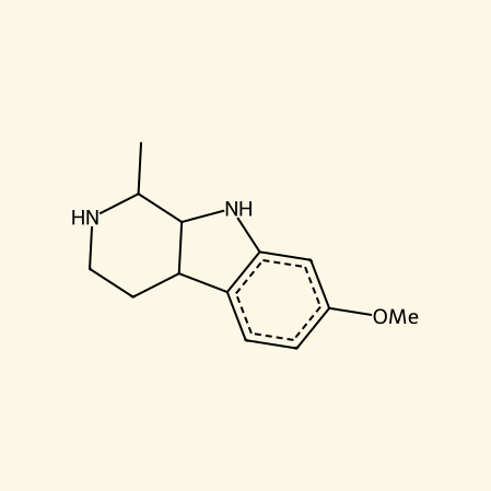 COc1ccc2c(c1)NC1C(C)NCCC21